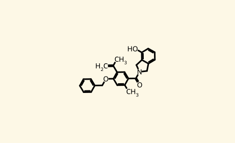 C=C(C)c1cc(C(=O)N2Cc3cccc(O)c3C2)c(C)cc1OCc1ccccc1